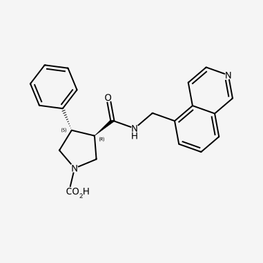 O=C(NCc1cccc2cnccc12)[C@H]1CN(C(=O)O)C[C@@H]1c1ccccc1